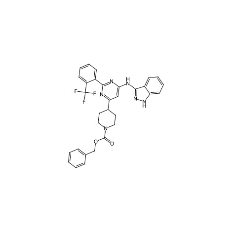 O=C(OCc1ccccc1)N1CCC(c2cc(Nc3n[nH]c4ccccc34)nc(-c3ccccc3C(F)(F)F)n2)CC1